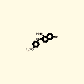 N=Nc1c(Nc2ccc(OC(F)(F)F)cc2)ccc2cc(Br)ccc12